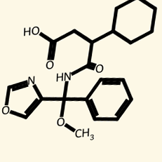 COC(NC(=O)C(CC(=O)O)C1CCCCC1)(c1ccccc1)c1cocn1